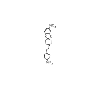 O=[N+]([O-])c1ccc(CCN2CCC3(CC2)Sc2ccc([N+](=O)[O-])cc2S3)cc1